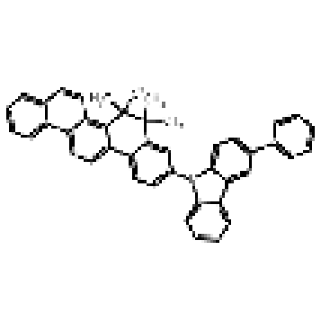 CC1(C)c2cc(-n3c4ccccc4c4cc(-c5ccccc5)ccc43)ccc2-c2ccc3c(ccc4ccccc43)c2C1(C)C